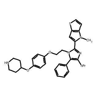 CCCc1nc(-c2cc3sccc3n2C)n(CCOc2ccc(OC3CCNCC3)cc2)c1-c1ccccc1